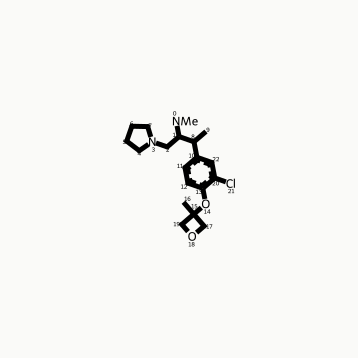 CNC(CN1CCCC1)C(C)c1ccc(OC2(C)COC2)c(Cl)c1